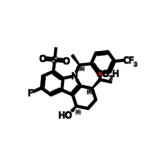 CC(C(=O)O)[C@H]1CC[C@@H](O)c2c1n([C@@H](C)c1ccc(C(F)(F)F)cc1)c1c(S(C)(=O)=O)cc(F)cc21